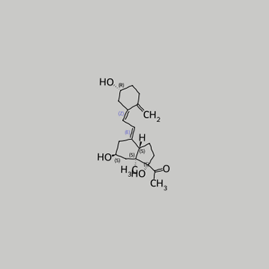 C=C1CC[C@@H](O)C/C1=C/C=C1\C[C@H](O)C[C@@]2(C)[C@H]1CC[C@@]2(O)C(C)=O